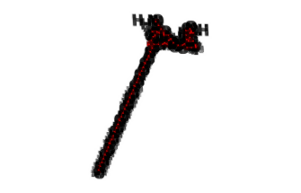 C=CCOC(=O)N[C@H](C(=O)N[C@@H](CCCNC(N)=O)C(=O)Nc1ccc(COP(=O)(O)OCC(=O)N[C@H]2CCc3c(C)c(F)cc4nc5c(c2c34)Cn2c-5cc3c(c2=O)COC(=O)[C@]3(O)CC)c(CN(C)C(=O)CCOCCOCCOCCOCCOCCOCCOCCOCCOCCOCCOCCOCCOCCOCCOCCOCCOCCOCCOCCOCCOCCOCCOCCOC)c1)C(C)C